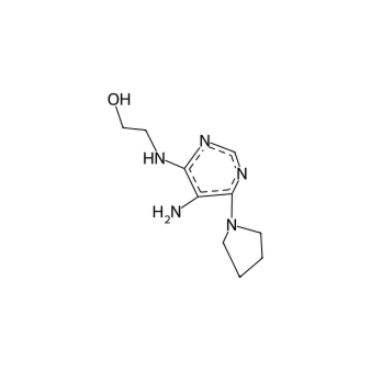 Nc1c(NCCO)ncnc1N1CCCC1